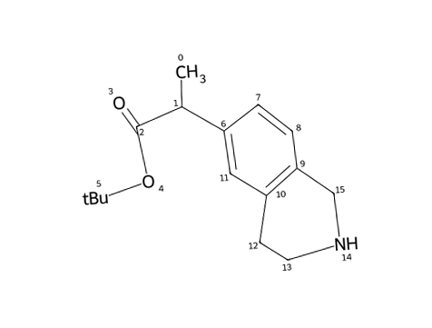 CC(C(=O)OC(C)(C)C)c1ccc2c(c1)CCNC2